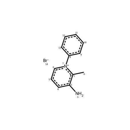 Cc1c(N)ccc[n+]1-c1ccccc1.[Br-]